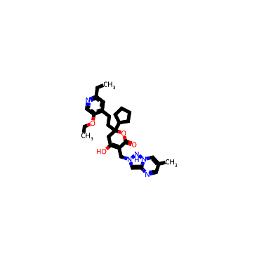 CCOc1cnc(CC)cc1CCC1(C2CCCC2)CC(O)=C(CN2C=C3N=CC(C)=CN3N2)C(=O)O1